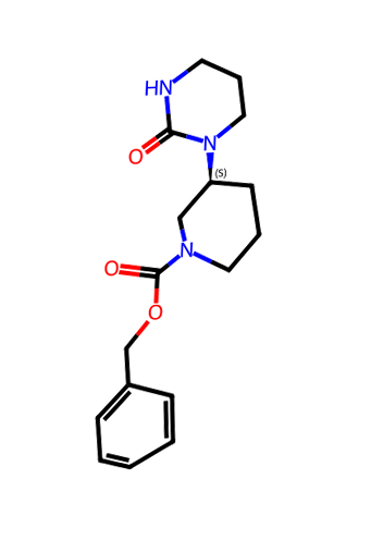 O=C(OCc1ccccc1)N1CCC[C@H](N2CCCNC2=O)C1